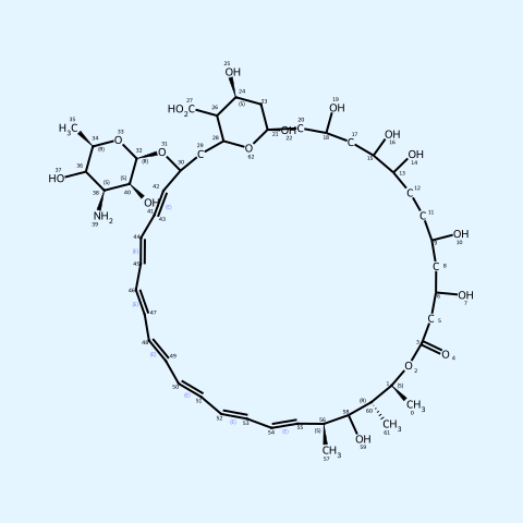 C[C@@H]1OC(=O)CC(O)CC(O)CCC(O)C(O)CC(O)CC2(O)C[C@H](O)C(C(=O)O)C(CC(O[C@@H]3O[C@H](C)C(O)[C@H](N)[C@@H]3O)/C=C/C=C/C=C/C=C/C=C/C=C/C=C/[C@H](C)C(O)[C@H]1C)O2